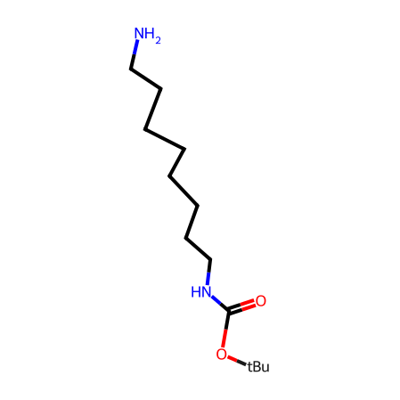 CC(C)(C)OC(=O)NCCCCCCCCN